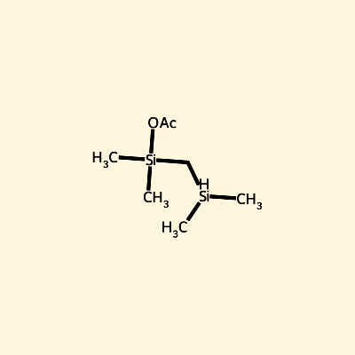 CC(=O)O[Si](C)(C)C[SiH](C)C